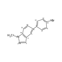 Cn1ncc2cc(-c3ccc(Br)cc3)ccc21